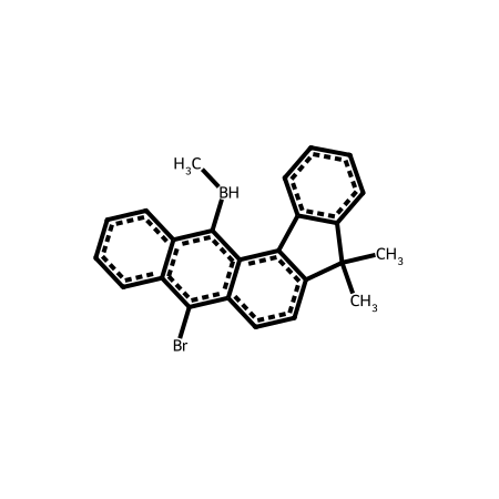 CBc1c2ccccc2c(Br)c2ccc3c(c12)-c1ccccc1C3(C)C